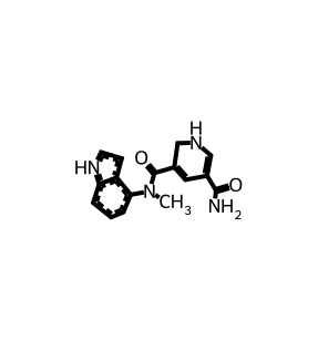 CN(C(=O)C1=CC(C(N)=O)=CNC1)c1cccc2[nH]ccc12